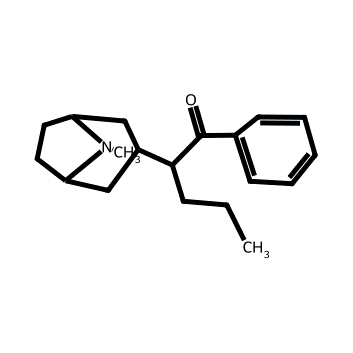 CCCC(C(=O)c1ccccc1)C1CC2CCC(C1)N2C